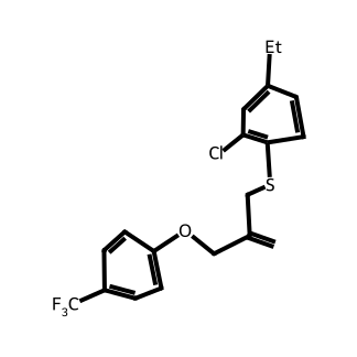 C=C(COc1ccc(C(F)(F)F)cc1)CSc1ccc(CC)cc1Cl